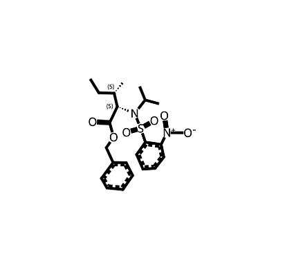 CC[C@H](C)[C@@H](C(=O)OCc1ccccc1)N(C(C)C)S(=O)(=O)c1ccccc1[N+](=O)[O-]